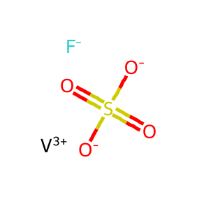 O=S(=O)([O-])[O-].[F-].[V+3]